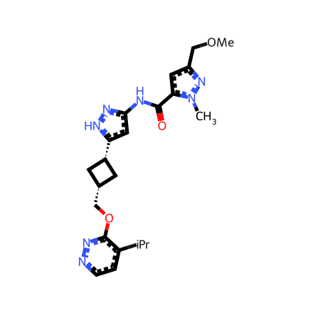 COCc1cc(C(=O)Nc2cc([C@H]3C[C@@H](COc4nnccc4C(C)C)C3)[nH]n2)n(C)n1